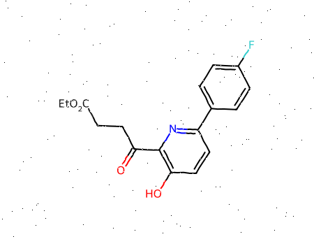 CCOC(=O)CCC(=O)c1nc(-c2ccc(F)cc2)ccc1O